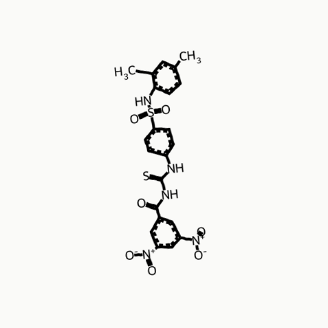 Cc1ccc(NS(=O)(=O)c2ccc(NC(=S)NC(=O)c3cc([N+](=O)[O-])cc([N+](=O)[O-])c3)cc2)c(C)c1